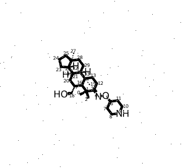 CC1(C)C(=NOC2CCNCC2)CC[C@@]2(C)C1[C@@H](CO)C[C@H]1[C@@H]3CCC[C@@]3(C)CC[C@@H]12